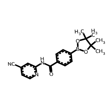 CC1(C)OB(c2ccc(C(=O)Nc3cc(C#N)ccn3)cc2)OC1(C)C